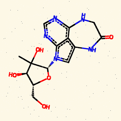 CC1(O)[C@H](O)[C@@H](CO)O[C@H]1n1cc2c3c(ncnc31)NCC(=O)N2